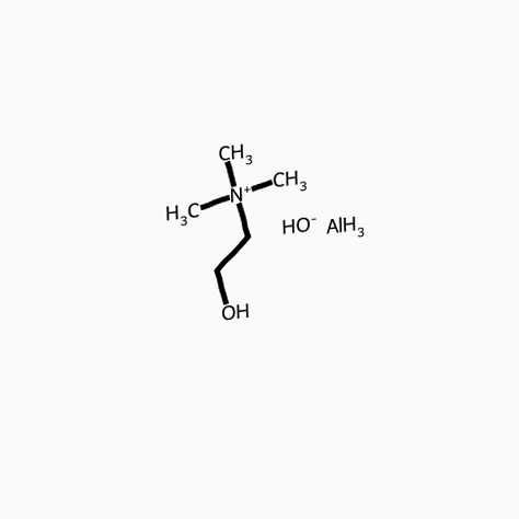 C[N+](C)(C)CCO.[AlH3].[OH-]